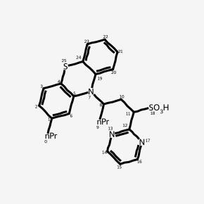 CCCc1ccc2c(c1)N(C(CCC)CC(c1ncccn1)S(=O)(=O)O)c1ccccc1S2